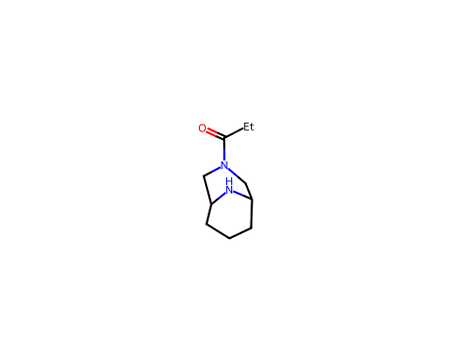 CCC(=O)N1CC2CCCC(C1)N2